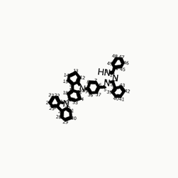 N=C(/N=C(\N=C\c1ccc(-n2c3ccccc3c3cc(-n4c5ccccc5c5ccccc54)ccc32)cc1)c1ccccc1)c1ccccc1